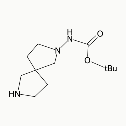 CC(C)(C)OC(=O)NN1CCC2(CCNC2)C1